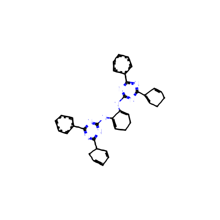 C1=CCC(c2nc(NC3=CCCC=C3Nc3nc(C4=CCCC=C4)nc(-c4ccccc4)n3)nc(-c3ccccc3)n2)C=C1